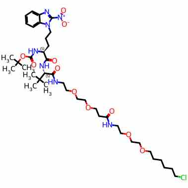 CC(C)(C)OC(=O)N[C@@H](CCCn1c([N+](=O)[O-])nc2ccccc21)C(=O)N[C@H](C(=O)NCCOCCOCCC(=O)NCCOCCOCCCCCCCl)C(C)(C)C